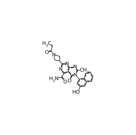 C=CC(=O)N1CC(c2nc(C(N)=O)c3c(=O)n(-c4cc(O)cc5ccccc45)c(C)nc3n2)C1